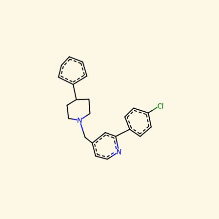 Clc1ccc(-c2cc(CN3CCC(c4ccccc4)CC3)ccn2)cc1